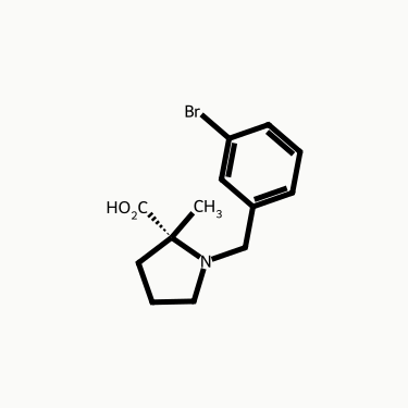 C[C@]1(C(=O)O)CCCN1Cc1cccc(Br)c1